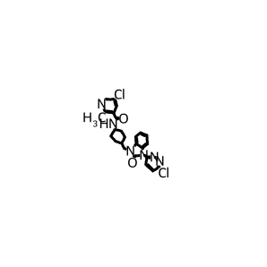 Cc1ncc(Cl)cc1C(=O)NC1CCC(Cn2c(=O)n(-c3ccc(Cl)nn3)c3ccccc32)CC1